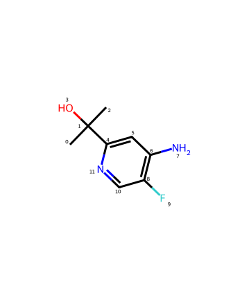 CC(C)(O)c1cc(N)c(F)cn1